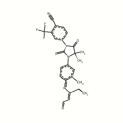 CCC(=C/C=O)/N=c1/ccc(N2C(=S)N(c3ccc(C#N)c(C(F)(F)F)c3)C(=O)C2(C)C)cn1C